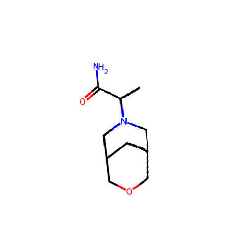 CC(C(N)=O)N1CC2COCC(C2)C1